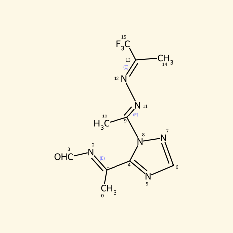 C/C(=N\C=O)c1ncnn1/C(C)=N/N=C(\C)C(F)(F)F